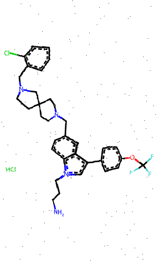 Cl.NCCCn1cc(-c2ccc(OC(F)(F)F)cc2)c2cc(CN3CCC4(CC3)CCN(Cc3ccccc3Cl)C4)ccc21